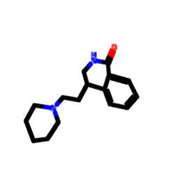 O=C1NCC(CCN2CCCCC2)c2ccccc21